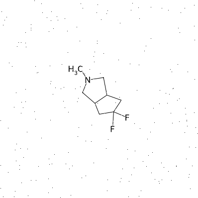 CN1CC2CC(F)(F)CC2C1